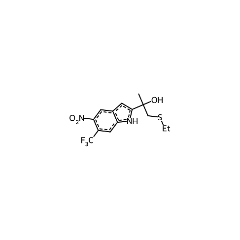 CCSCC(C)(O)c1cc2cc([N+](=O)[O-])c(C(F)(F)F)cc2[nH]1